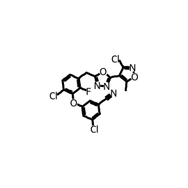 Cc1onc(Cl)c1-c1nnc(Cc2ccc(Cl)c(Oc3cc(Cl)cc(C#N)c3)c2F)o1